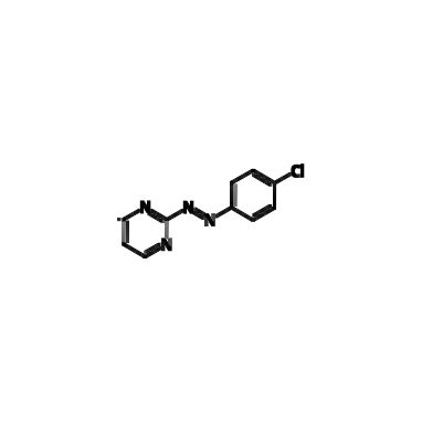 Clc1ccc(N=Nc2n[c]ccn2)cc1